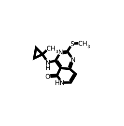 CSc1nc(NC2(C)CC2)c2c(=O)[nH]ccc2n1